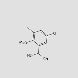 COc1c(C)cc(Cl)cc1C(O)C#N